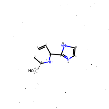 C=CC(N[C@@H](C)C(=O)O)c1ncc[nH]1